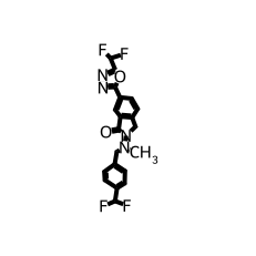 CN(Cc1ccc(C(F)F)cc1)N1Cc2ccc(-c3nnc(C(F)F)o3)cc2C1=O